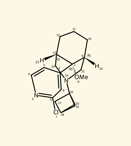 CO[C@@]1(c2ccnc(Cl)c2)[C@@H]2CCC[C@H]1CN(C13CC(C1)C3)C2